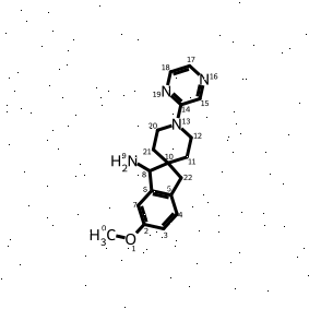 COc1ccc2c(c1)C(N)C1(CCN(c3cnccn3)CC1)C2